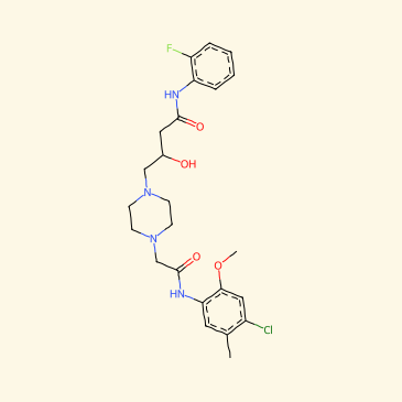 COc1cc(Cl)c(C)cc1NC(=O)CN1CCN(CC(O)CC(=O)Nc2ccccc2F)CC1